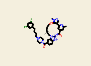 Cc1cc2cc(n1)-c1cnn(C)c1OCCC[C@@H](C)CN1/C(=N/C2=O)Nc2ccc(C(=O)N3CCN(CCCCc4cc(F)cc(F)c4)CC3)cc21